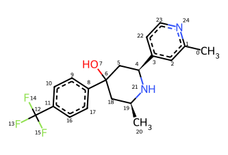 Cc1cc([C@@H]2CC(O)(c3ccc(C(F)(F)F)cc3)C[C@H](C)N2)ccn1